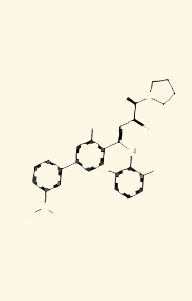 C[S+]([O-])c1cccc(-c2ccc(/C(=C/C(=N)C(=O)N3CCCC3)Nc3c(Cl)cccc3Cl)c(Cl)c2)c1